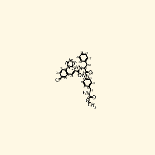 COC(=O)NCc1ccc(NC(=O)C(Cc2ccccc2)NC(=O)C=Cc2cc(Cl)ccc2-n2cnnn2)cc1